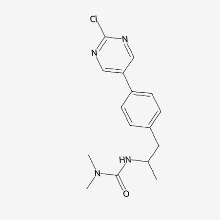 CC(Cc1ccc(-c2cnc(Cl)nc2)cc1)NC(=O)N(C)C